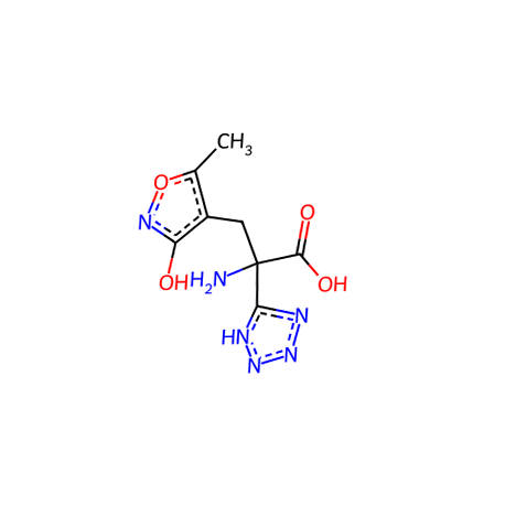 Cc1onc(O)c1CC(N)(C(=O)O)c1nnn[nH]1